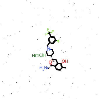 Cc1ccc2c(c1O)C[C@@H](C1CCN(Cc3cc(F)cc(C(F)(F)F)c3)CC1)O[C@H]2CN.Cl.Cl